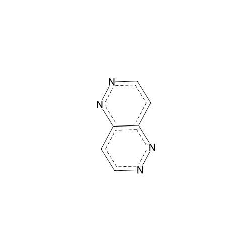 c1cc2nnccc2nn1